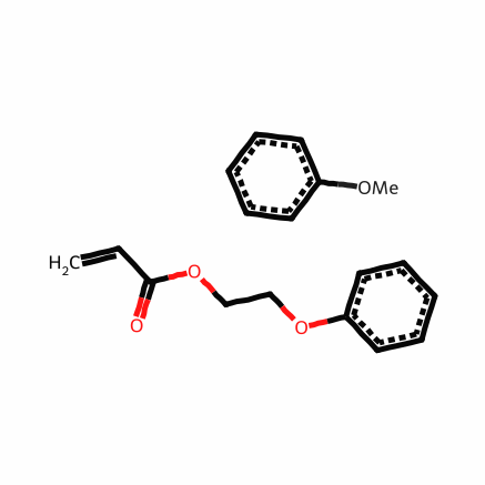 C=CC(=O)OCCOc1ccccc1.COc1ccccc1